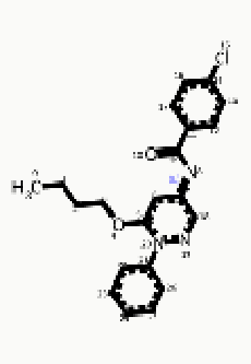 CCCCOc1c/c(=N\C(=O)c2ccc(Cl)cc2)cnn1-c1ccccc1